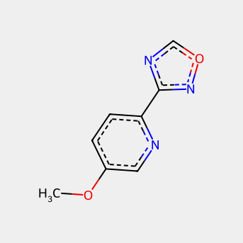 COc1ccc(-c2ncon2)nc1